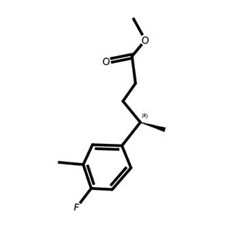 COC(=O)CC[C@@H](C)c1ccc(F)c(C)c1